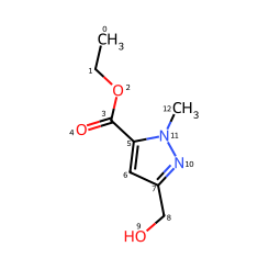 CCOC(=O)c1cc(CO)nn1C